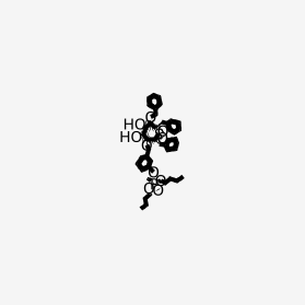 CCCCOP(=O)(COc1cccc(CO[C@@H]2[C@H](O)[C@@H](O)[C@@H](OCc3ccccc3)[C@@H](Cc3ccccc3)S(=O)(=O)[C@@H]2Cc2ccccc2)c1)OCCCC